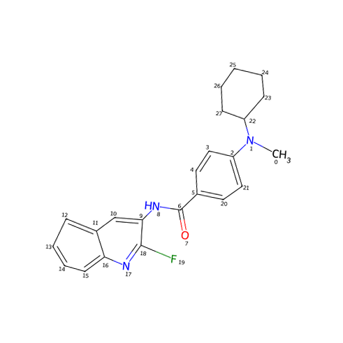 CN(c1ccc(C(=O)Nc2cc3ccccc3nc2F)cc1)C1CCCCC1